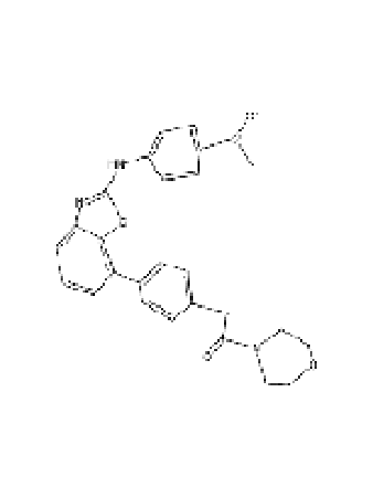 C[S+]([O-])c1ccc(Nc2nc3cccc(-c4ccc(CC(=O)N5CCOCC5)cc4)c3o2)cc1